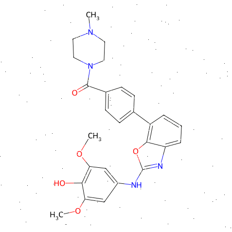 COc1cc(Nc2nc3cccc(-c4ccc(C(=O)N5CCN(C)CC5)cc4)c3o2)cc(OC)c1O